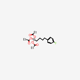 CCC(=O)O[Si](CCCCc1ccc(F)cc1)(OC(=O)CC)OC(=O)CC